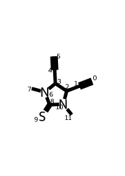 C#CC1C(C#C)N(C)C(=S)N1C